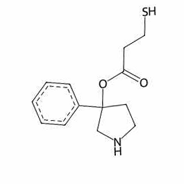 O=C(CCS)OC1(c2ccccc2)CCNC1